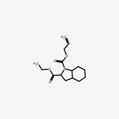 C=CCOC(=O)N1C(C(=O)OCC)CC2CCCCC21